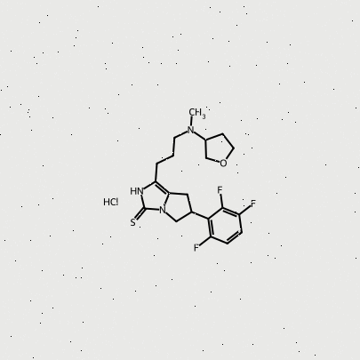 CN(CCCc1[nH]c(=S)n2c1CC(c1c(F)ccc(F)c1F)C2)C1CCOC1.Cl